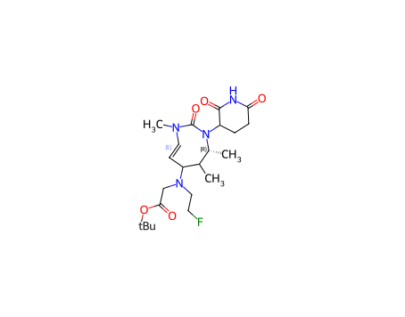 CC1C(N(CCF)CC(=O)OC(C)(C)C)/C=C/N(C)C(=O)N(C2CCC(=O)NC2=O)[C@@H]1C